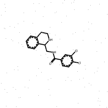 O=C(NCC1NCCc2ccccc21)c1ccc(Cl)c(Cl)c1